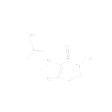 Cn1ccc2ncn(CC(=O)O)c2c1=O